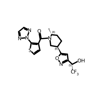 C[C@@H]1CC[C@@H](c2cc([C@H](O)C(F)(F)F)no2)CN1C(=O)c1ccsc1-n1nccn1